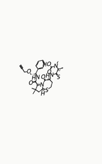 C#CCOC[C@@H](NC(=O)[C@H]1N2C(=O)[C@@H](NC(=S)[C@H](C)N(C)C(=O)O)CCS[C@H]2CC1(C)C)c1ccccc1